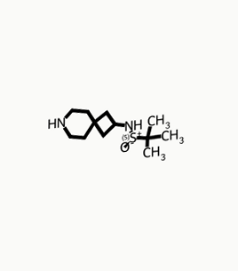 CC(C)(C)[S@@+]([O-])NC1CC2(CCNCC2)C1